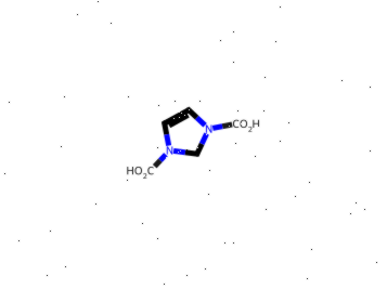 O=C(O)N1C=CN(C(=O)O)C1